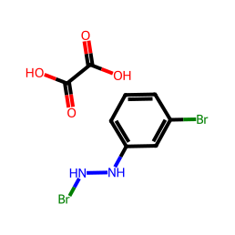 BrNNc1cccc(Br)c1.O=C(O)C(=O)O